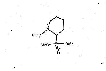 CCOC(=O)N1CCCCC1P(=O)(OC)OC